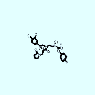 C[C@H](CN(CCN(C)C(=O)Oc1ccc(F)cc1)C(=O)CCN1CCCC1=O)c1ccc(Cl)c(Cl)c1